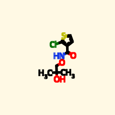 CC(C)(O)CONC(=O)c1ccsc1Cl